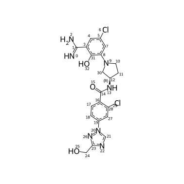 N=C(N)c1cc(Cl)cc(N2CC[C@@H](NC(=O)c3ccc(-n4cnc(CO)n4)cc3Cl)C2)c1O